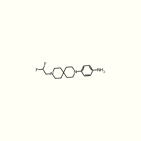 Nc1ccc(N2CCC3(CCN(CC(F)F)CC3)CC2)cc1